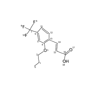 CCCOc1cc(C(F)(F)F)ccc1/C=C/C(=O)O